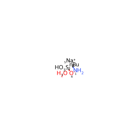 CCCCN.O.O=S(=O)([O-])O.[Na+]